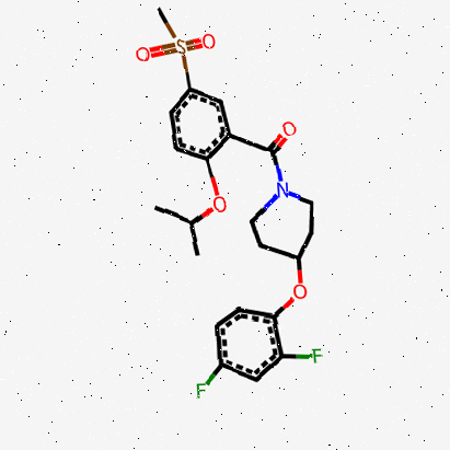 CC(C)Oc1ccc(S(C)(=O)=O)cc1C(=O)N1CCC(Oc2ccc(F)cc2F)CC1